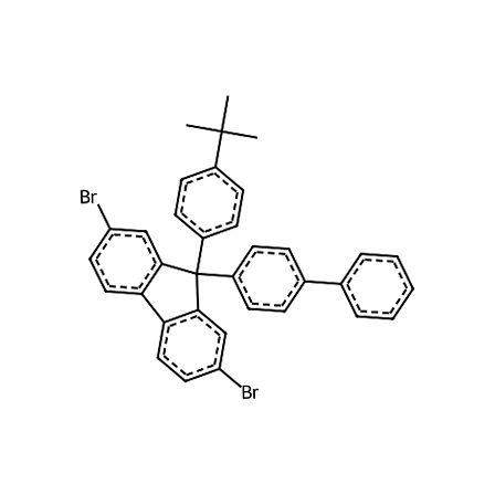 CC(C)(C)c1ccc(C2(c3ccc(-c4ccccc4)cc3)c3cc(Br)ccc3-c3ccc(Br)cc32)cc1